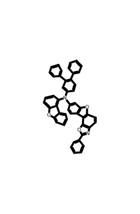 c1ccc(-c2nc3ccc4oc5cc(N(c6ccc(-c7ccccc7)c(-c7ccccc7)c6)c6cccc7oc8ccccc8c67)ccc5c4c3o2)cc1